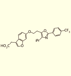 CC(C)c1nc(-c2ccc(C(F)(F)F)cc2)oc1CCOc1ccc2c(CC(=O)O)coc2c1